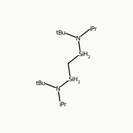 CC(C)N([SiH2]C[SiH2]N(C(C)C)C(C)(C)C)C(C)(C)C